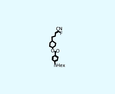 CCCCCCc1ccc(C(=O)OC2CCC(CCC=C(F)C#N)CC2)cc1